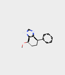 COC1=c2[nH]cnc2=C(c2ccccc2)CC1